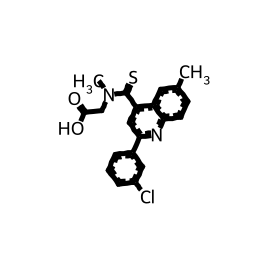 Cc1ccc2nc(-c3cccc(Cl)c3)cc(C(=S)N(C)CC(=O)O)c2c1